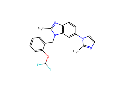 Cc1nccn1-c1ccc2nc(C)n(Cc3ccccc3OC(F)F)c2c1